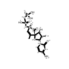 C/C(=C/P(=O)(O)OP(=O)(O)OP(=O)(O)O)[C@@]1(CCl)O[C@@H](n2ccc(N)nc2=O)[C@H](F)[C@@H]1O